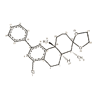 C[C@@H]1[C@H]2CCc3c(Cl)nc(-c4ccncc4)nc3[C@]2(C)CCC12OCCO2